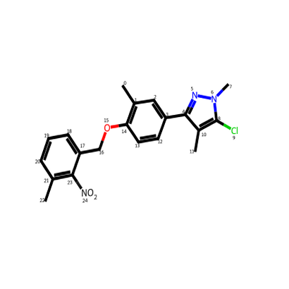 Cc1cc(-c2nn(C)c(Cl)c2C)ccc1OCc1cccc(C)c1[N+](=O)[O-]